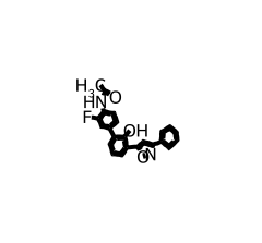 CC(=O)Nc1ccc(-c2cccc(-c3cc(-c4ccccc4)no3)c2O)cc1F